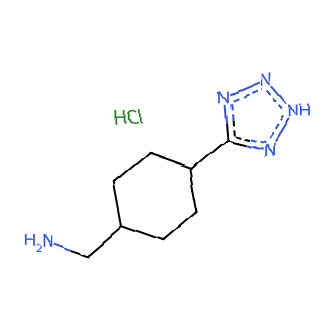 Cl.NCC1CCC(c2nn[nH]n2)CC1